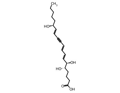 CCCCC[C@H](O)/C=C/C#C/C=C/C=C/[C@@H](O)[C@@H](O)CCCC(=O)O